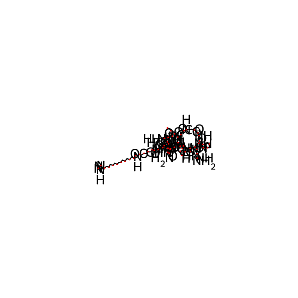 CCCC[C@H](NC(=O)[C@H](CCN)NC(=O)[C@H](Cc1c[nH]cn1)NC(=O)[C@H](CCC(N)=O)NC(=O)[C@H](CO)NC(=O)CNC(=O)COCCOCCNC(=O)CCCCCCCCCCCCCCCc1nnn[nH]1)C(=O)N[C@H]1CCC(=O)NCCCC[C@@H](C(C)=O)NC(=O)[C@H](Cc2c[nH]c3ccccc23)NC(=O)[C@H](CCCNC(=N)N)NC(=O)[C@@H](Cc2ccccc2)NC(=O)[C@@H]2C[C@@H](O)CN2C1=O